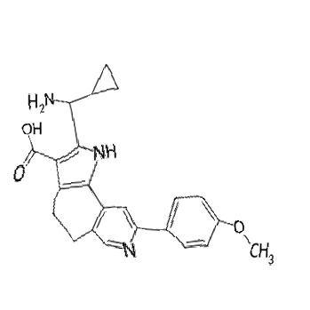 COc1ccc(-c2cc3c(cn2)CCc2c-3[nH]c(C(N)C3CC3)c2C(=O)O)cc1